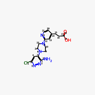 Nc1nnc(Cl)cc1N1CCN(c2cc(CCC(=O)O)ccn2)CC1